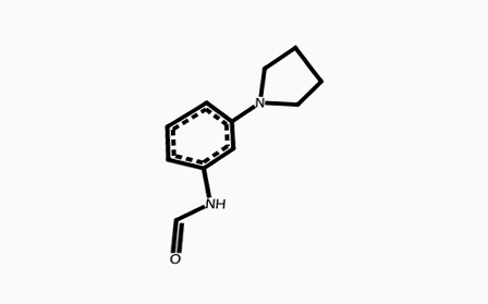 O=CNc1cccc(N2CCCC2)c1